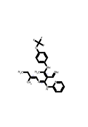 CC/C(C)=C/N=C(Nc1ccccn1)\C(C=N)=C(/C)Nc1ccc(OC(F)(F)F)cc1